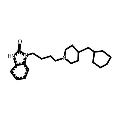 O=c1[nH]c2ccccc2n1CCCCN1CCC(CC2CCCCC2)CC1